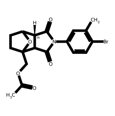 CC(=O)OCC12CCC(O1)[C@@H]1C(=O)N(c3ccc(Br)c(C)c3)C(=O)C12